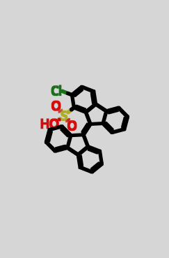 O=S(=O)(O)c1c(Cl)ccc2c1C(=C1c3ccccc3-c3ccccc31)c1ccccc1-2